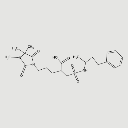 CC(CCc1ccccc1)NS(=O)(=O)CC(CCCN1C(=O)N(C)C(C)(C)C1=O)C(=O)O